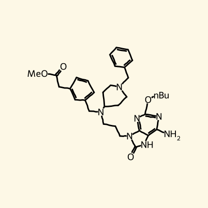 CCCCOc1nc(N)c2[nH]c(=O)n(CCCN(Cc3cccc(CC(=O)OC)c3)C3CCN(Cc4ccccc4)CC3)c2n1